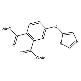 COC(=O)c1ccc(Oc2cn[c]s2)cc1C(=O)OC